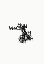 COc1cccc2[nH]c(C(=O)NCC(=O)NC(C[C@@H]3CCCNC3=O)C(=O)COC(=O)c3c(Cl)cccc3Cl)cc12